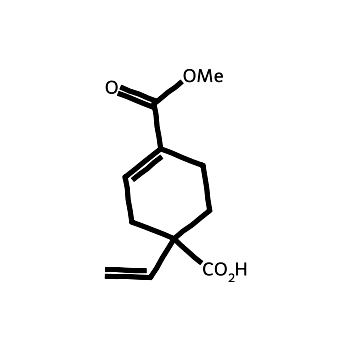 C=CC1(C(=O)O)CC=C(C(=O)OC)CC1